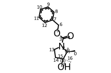 C[C@@H]1N(C(=O)OCc2ccccc2)CC[C@]1(C)O